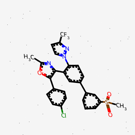 Cc1nc(-c2cc(-c3cccc(S(C)(=O)=O)c3)ccc2-n2ccc(C(F)(F)F)n2)c(-c2ccc(Cl)cc2)o1